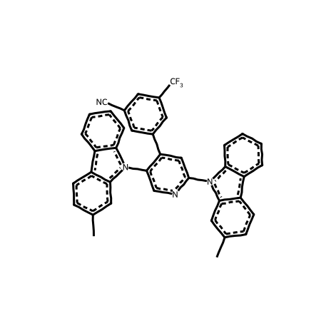 Cc1ccc2c3ccccc3n(-c3cc(-c4cc(C#N)cc(C(F)(F)F)c4)c(-n4c5ccccc5c5ccc(C)cc54)cn3)c2c1